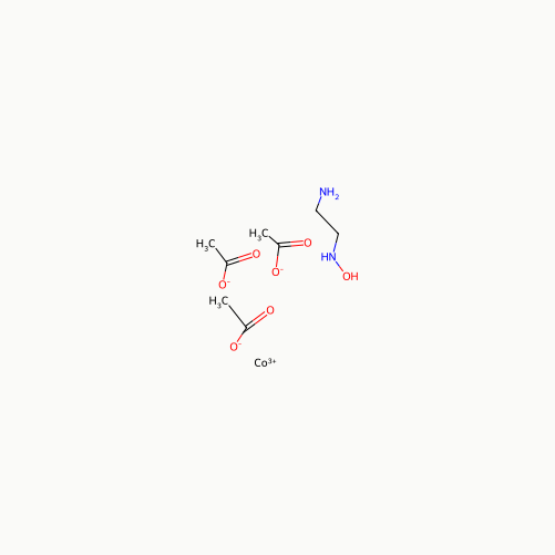 CC(=O)[O-].CC(=O)[O-].CC(=O)[O-].NCCNO.[Co+3]